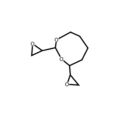 C1CCC(C2CO2)OC(C2CO2)OC1